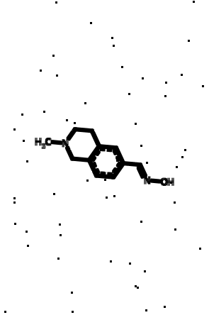 CN1CCc2cc(C=NO)ccc2C1